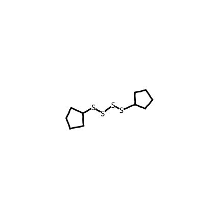 C1CCC(SSSSC2CCCC2)C1